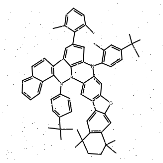 Cc1cc(C(C)(C)C)ccc1N1c2cc3oc4cc5c(cc4c3cc2B2c3c(cc(-c4c(C)cccc4C)cc31)-c1ccc3ccccc3c1N2c1ccc(C(C)(C)C)cc1)C(C)(C)CCC5(C)C